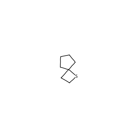 C1CCC2(C1)CCS2